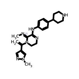 C=C(c1cnn(C)c1)N1CCN=C(Nc2ccc(C3CCNCC3)cc2)/C1=N/C